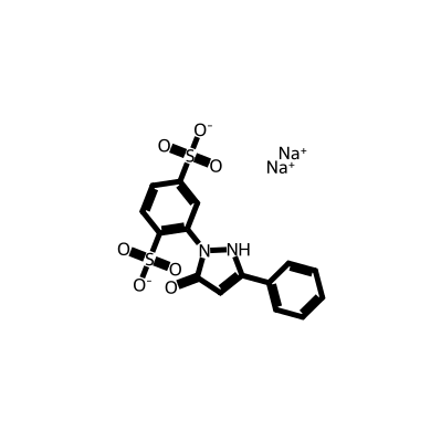 O=c1cc(-c2ccccc2)[nH]n1-c1cc(S(=O)(=O)[O-])ccc1S(=O)(=O)[O-].[Na+].[Na+]